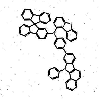 c1ccc(-n2c3cc(-c4ccc(N(c5ccc6c(c5)C5(c7ccccc7-c7ccccc75)c5ccccc5-6)c5cccc6sc7ccccc7c56)cc4)ccc3c3ccc4ccccc4c32)cc1